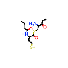 CCCC(=O)NC(CCS)C(=O)SCC(N)C(=O)CC